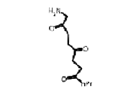 CCCC(=O)CCC(=O)CCC(=O)CN